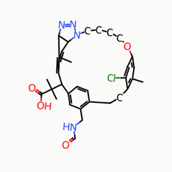 CC1=C2C=CC3C1N=NN3CCCCOc1cc(C)c(c(Cl)c1)CCc1ccc(cc1CNC=O)C2C(C)(C)C(=O)O